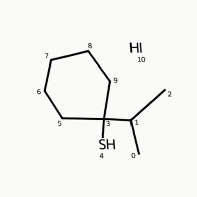 CC(C)C1(S)CCCCC1.I